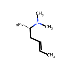 C/C=C/C[C@H](CCC)N(C)C